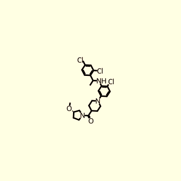 CO[C@H]1CCN(C(=O)C2CCN(c3ccc(Cl)c(NC(C)c4ccc(Cl)cc4Cl)c3)CC2)C1